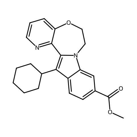 COC(=O)c1ccc2c(C3CCCCC3)c3n(c2c1)CCOc1cccnc1-3